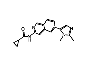 Cc1ncc(-c2ccc3cnc(NC(=O)C4CC4)cc3c2)n1C